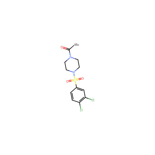 CC(C)(C)C(=O)N1CCN(S(=O)(=O)c2ccc(Cl)c(Cl)c2)CC1